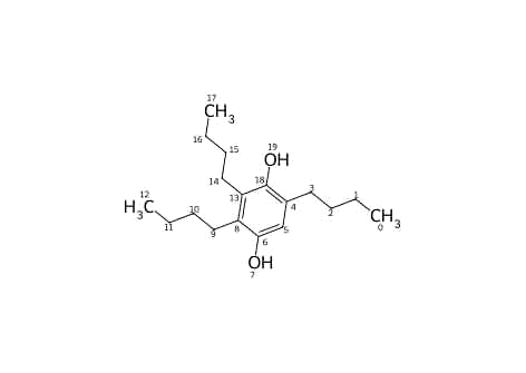 CCCCc1cc(O)c(CCCC)c(CCCC)c1O